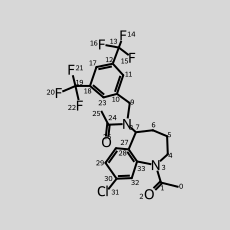 CC(=O)N1CCCC(N(Cc2cc(C(F)(F)F)cc(C(F)(F)F)c2)C(C)=O)c2ccc(Cl)cc21